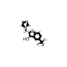 O[C@H]1c2cc(C(F)(F)F)ccc2S[C@H]1Cn1ccnc1